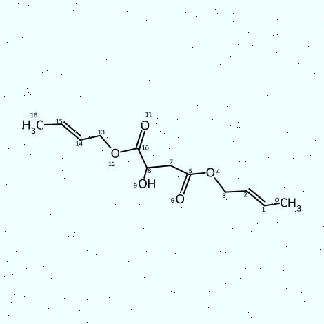 CC=CCOC(=O)CC(O)C(=O)OCC=CC